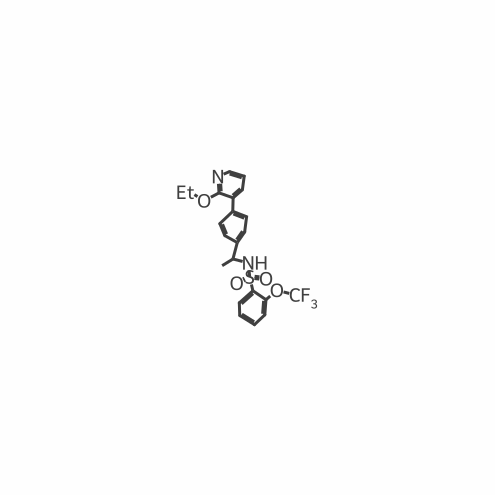 CCOc1ncccc1-c1ccc(C(C)NS(=O)(=O)c2ccccc2OC(F)(F)F)cc1